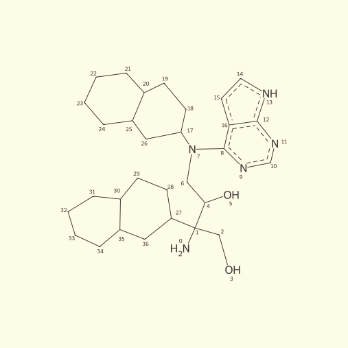 NC(CO)(C(O)CN(c1ncnc2[nH]ccc12)C1CCC2CCCCC2C1)C1CCC2CCCCC2C1